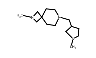 CN1CCC(CN2CCC3(CC2)CN(C)C3)C1